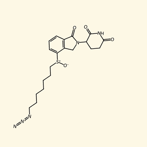 [N-]=[N+]=NCCCCCCC[S+]([O-])c1cccc2c1CN(C1CCC(=O)NC1=O)C2=O